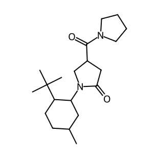 CC1CCC(C(C)(C)C)C(N2CC(C(=O)N3CCCC3)CC2=O)C1